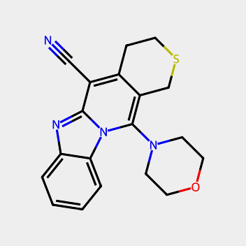 N#Cc1c2c(c(N3CCOCC3)n3c1nc1ccccc13)CSCC2